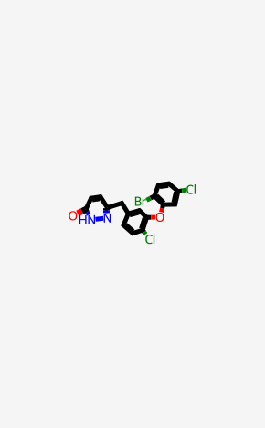 O=c1ccc(Cc2ccc(Cl)c(Oc3cc(Cl)ccc3Br)c2)n[nH]1